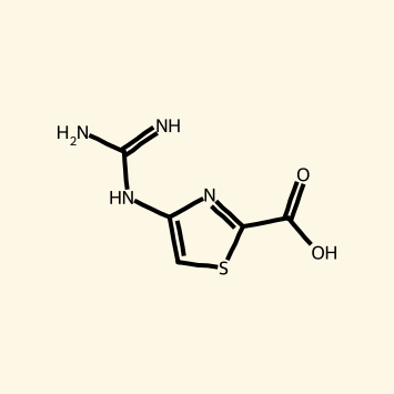 N=C(N)Nc1csc(C(=O)O)n1